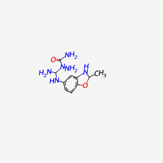 CC1Nc2cc(NC(N)N(N)C(N)=O)ccc2O1